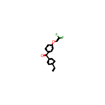 C=Cc1ccc(C(=O)c2ccc(OC=C(F)F)cc2)cc1